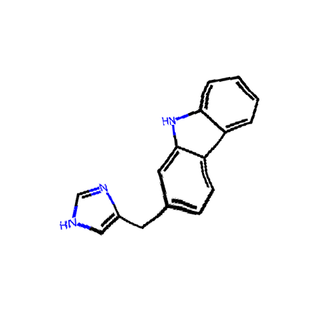 c1ccc2c(c1)[nH]c1cc(Cc3c[nH]cn3)ccc12